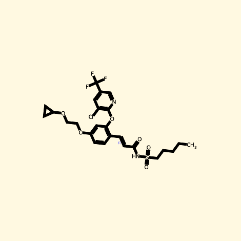 CCCCCS(=O)(=O)NC(=O)/C=C/c1ccc(OCCOC2CC2)cc1Oc1ncc(C(F)(F)F)cc1Cl